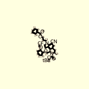 C[C@H](Cc1cc(C#N)c2c(c1)CCN2CCCOC(=O)c1ccccc1)N(CCOc1ccccc1OCC(F)(F)F)C(=O)OC(C)(C)C